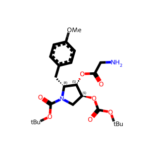 COc1ccc(C[C@@H]2[C@H](OC(=O)CN)[C@@H](OC(=O)OC(C)(C)C)CN2C(=O)OC(C)(C)C)cc1